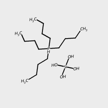 CCCC[PH](CCCC)(CCCC)CCCC.O[Si](O)(O)O